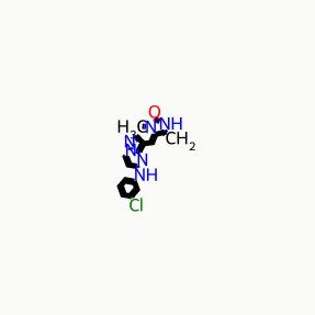 C=c1[nH]c(=O)n(C)/c1=C\c1cnn2ccc(Nc3cccc(Cl)c3)nc12